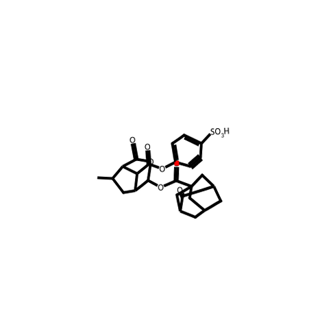 CC1CC2C(OC(=O)C34CC5CC(C3)C(=O)C(C5)C4)OC(=O)C1C2C(=O)Oc1c#cc(S(=O)(=O)O)cc1